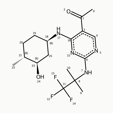 CC(=O)c1cnc(NC(C)(C)C(F)(F)F)nc1N[C@@H]1CC[C@@H](C)[C@H](O)C1